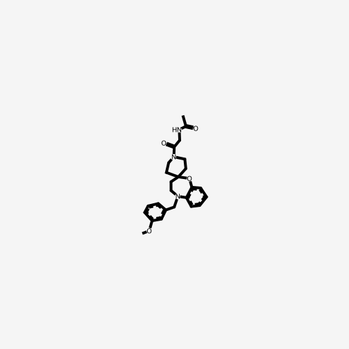 COc1cccc(CN2CCC3(CCN(C(=O)CNC(C)=O)CC3)Oc3ccccc32)c1